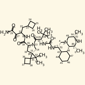 C[C@@H]1CN(C[C@@H](NC(=O)N[C@H](C(=O)N2C[C@]3(C[C@H]2C(=O)NC(CC2CCC2)C(=O)C(N)=O)C(C)(C)C32CCC2)C(C)(C)C)C2CCCCC2)C[C@H](C)N1